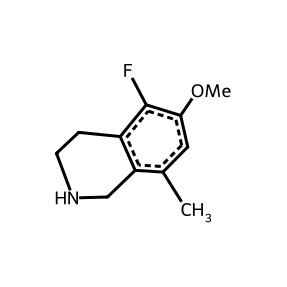 COc1cc(C)c2c(c1F)CCNC2